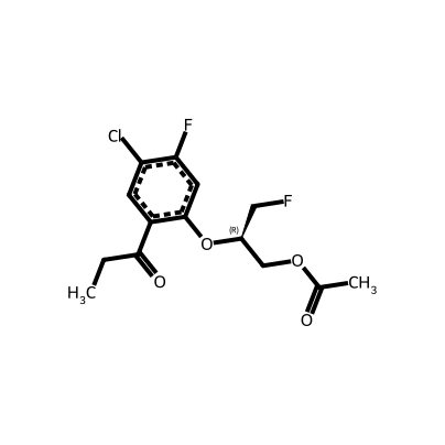 CCC(=O)c1cc(Cl)c(F)cc1O[C@@H](CF)COC(C)=O